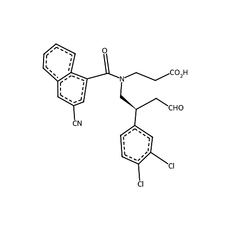 N#Cc1cc(C(=O)N(CCC(=O)O)C[C@@H](CC=O)c2ccc(Cl)c(Cl)c2)c2ccccc2c1